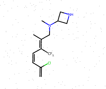 C=C(Cl)/C=C\C(=C(/C)CN(C)C1CNC1)C(F)(F)F